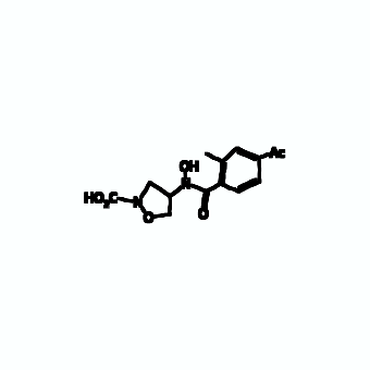 CC(=O)c1ccc(C(=O)N(O)C2CON(C(=O)O)C2)c(C)c1